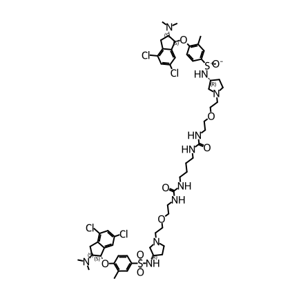 Cc1cc([S+]([O-])N[C@@H]2CCN(CCOCCNC(=O)NCCCCNC(=O)NCCOCCN3CC[C@@H](NS(=O)(=O)c4ccc(O[C@H]5c6cc(Cl)cc(Cl)c6C[C@@H]5N(C)C)c(C)c4)C3)C2)ccc1O[C@H]1c2cc(Cl)cc(Cl)c2C[C@@H]1N(C)C